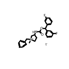 C[N+]1(Cc2ccccc2)CCC(NC(=O)OC(c2cccc(F)c2)c2cccc(F)c2)C1.[I-]